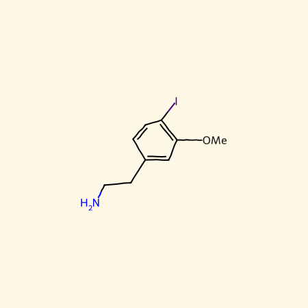 COc1cc(CCN)ccc1I